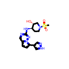 CS(=O)(=O)N1CC[C@@H](Nc2ncc3ccc(-c4cn[nH]c4)n3n2)[C@H](O)C1